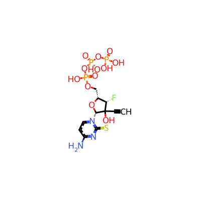 C#CC1(O)[C@@H](F)[C@@H](COP(=O)(O)OP(=O)(O)OP(=O)(O)O)O[C@H]1n1ccc(N)nc1=S